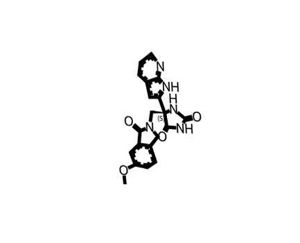 COc1ccc2c(c1)C(=O)N(C[C@@]1(c3cc4cccnc4[nH]3)NC(=O)NC1=O)C2